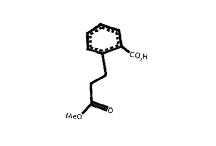 COC(=O)CCc1ccccc1C(=O)O